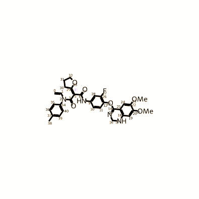 C=CN(C(=O)/C(C(=O)Nc1ccc(OC2=NCNc3cc(OC)c(OC)cc32)c(F)c1)=C1\CCCO1)c1ccc(C)cc1